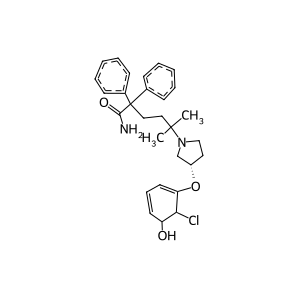 CC(C)(CCC(C(N)=O)(c1ccccc1)c1ccccc1)N1CC[C@H](OC2=CC=CC(O)C2Cl)C1